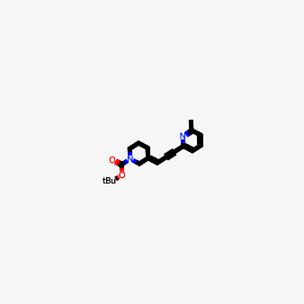 Cc1cccc(C#CC=C2CCCN(C(=O)OC(C)(C)C)C2)n1